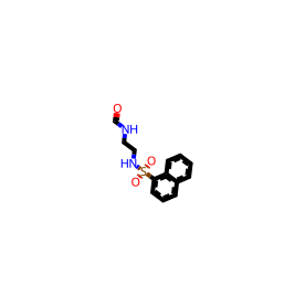 O=CNCCNS(=O)(=O)c1cccc2ccccc12